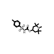 Cc1ccc(S(=O)(=O)NC(=O)OC2CC(C)(C)N(C)C(C)(C)C2)cc1